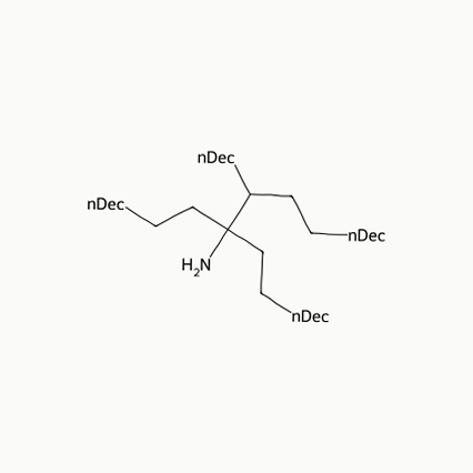 CCCCCCCCCCCCC(CCCCCCCCCC)C(N)(CCCCCCCCCCCC)CCCCCCCCCCCC